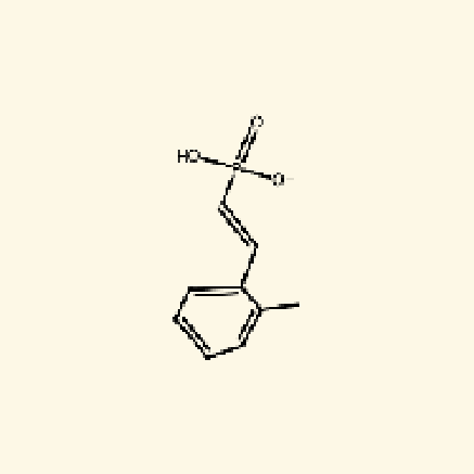 Cc1ccccc1C=CP(=O)(O)O